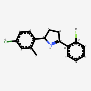 Cc1cc(Cl)ccc1C1CCC(c2ccccc2F)=N1